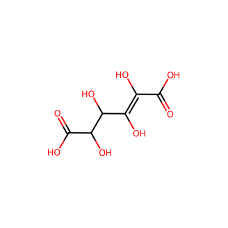 O=C(O)/C(O)=C(\O)C(O)C(O)C(=O)O